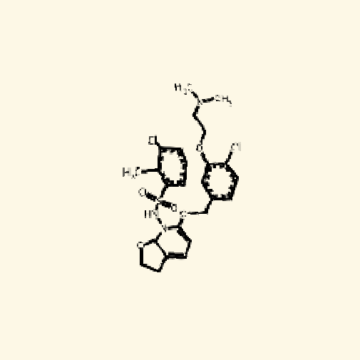 Cc1c(Cl)cccc1S(=O)(=O)NN1C(OCc2ccc(Cl)c(OCCN(C)C)c2)=CC=C2CCOC21